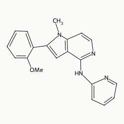 COc1ccccc1-c1cc2c(Nc3ccccn3)nccc2n1C